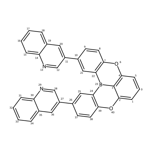 c1cc2c3c(c1)Oc1ccc(-c4cnc5ccccc5c4)cc1B3c1cc(-c3cnc4ccccc4c3)ccc1O2